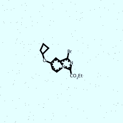 CCOC(=O)c1nc(Br)c2cc(OC3CCC3)ccn12